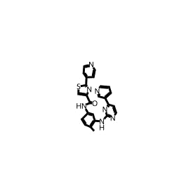 Cc1ccc(NC(=O)c2csc(-c3ccncc3)n2)cc1Nc1nccc(-c2cccnc2)n1